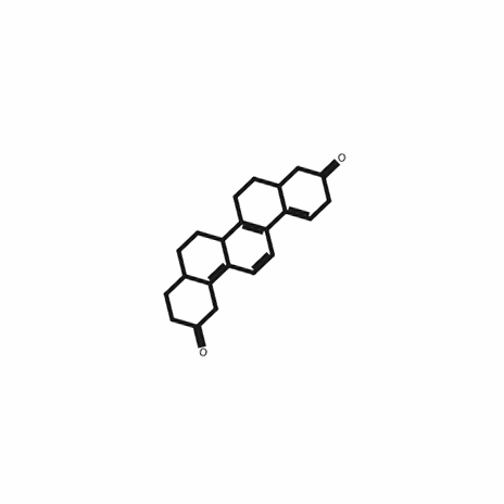 O=C1CCC2CCC3C(=C2C1)C=CC1=C3CCC2CC(=O)CC=C12